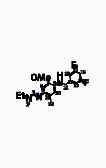 CCN(C)/C=N/c1cc(OC)c(NCc2cc(F)cc(F)c2)cc1C